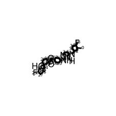 Cc1cc(Nc2ccnc(Nc3ccc(S(=O)(=O)N4CCCC(O)(CN5CC[C@H](F)C5)C4)cc3)n2)ccc1F